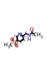 CC(=O)NCc1ccc(S(C)(=O)=O)cn1